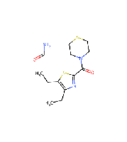 CCc1nc(C(=O)N2CCSCC2)sc1CC.NC=O